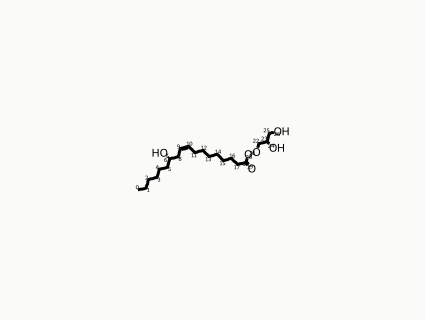 CCCCCC[C@@H](O)C/C=C\CCCCCCCC(=O)OOCC(O)CO